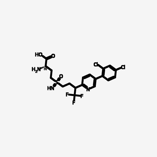 N=S(=O)(CCC(c1ccc(-c2ccc(Cl)cc2Cl)cn1)C(F)(F)F)CC[C@H](N)C(=O)O